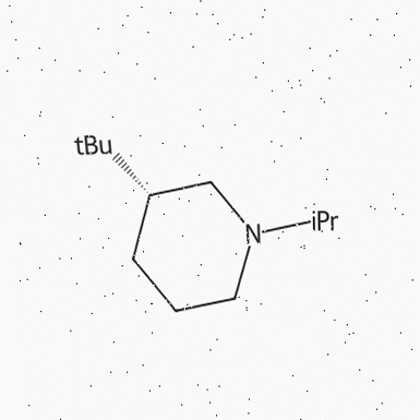 CC(C)N1CCC[C@H](C(C)(C)C)C1